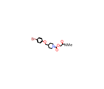 CNC(=O)COC(=O)N1CCC(COc2ccc(Br)cc2)CC1